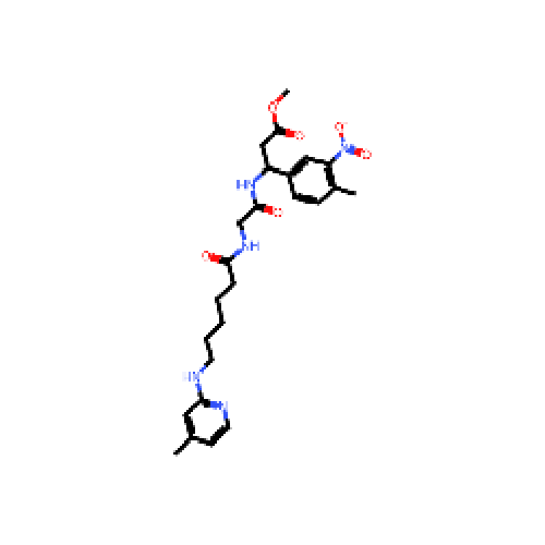 COC(=O)CC(NC(=O)CNC(=O)CCCCCNc1cc(C)ccn1)c1ccc(C)c([N+](=O)[O-])c1